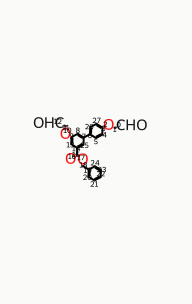 O=CCOc1ccc(-c2cc(OCC=O)cc(C(=O)OCc3ccccc3)c2)cc1